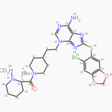 CC(C)(C)[C@]1(C(=O)N2CCC(CCn3cnc(N)c4nc(Sc5cc6c(cc5Br)OCO6)nc3-4)CC2)CCCCN1C(=O)O